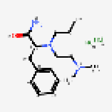 CC(C)CCN(CCN(C)C)[C@@H](Cc1ccccc1)C(N)=O.Cl.Cl